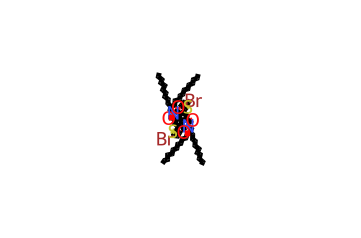 CCCCCCCCCCCCC(CCCCCCCCCC)CN1C(=O)c2cc(-c3ccc(Br)s3)c3c4c(cc(-c5ccc(Br)s5)c(c24)C1=O)C(=O)N(CC(CCCCCCCCCC)CCCCCCCCCCCC)C3=O